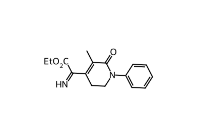 CCOC(=O)C(=N)C1=C(C)C(=O)N(c2ccccc2)CC1